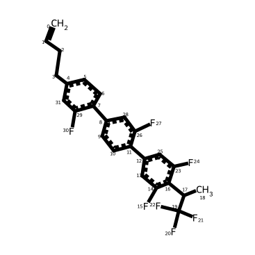 C=CCCc1ccc(-c2ccc(-c3cc(F)c(C(C)C(F)(F)F)c(F)c3)c(F)c2)c(F)c1